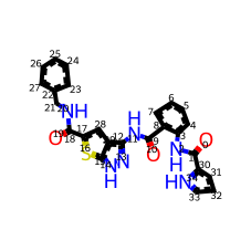 O=C(Nc1ccccc1C(=O)Nc1n[nH]c2sc(C(=O)NCc3ccccc3)cc12)c1ccc[nH]1